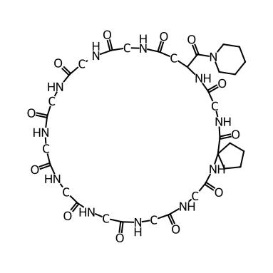 O=C1CNC(=O)CNC(=O)CNC(=O)CNC(=O)CC(C(=O)N2CCCCC2)NC(=O)CNC(=O)C2(CCCC2)NC(=O)CNC(=O)CNC(=O)CNC(=O)CN1